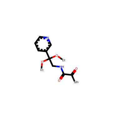 CCCC(=O)C(=O)NCC(OCC)(OCC)c1cccnc1